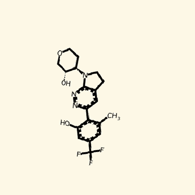 Cc1cc(C(F)(F)F)cc(O)c1-c1cc2c(nn1)N([C@@H]1CCOC[C@H]1O)CC2